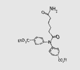 CCOC(=O)c1ccc(N(C(=O)CCCCC(N)=O)c2ccc(C(=O)OCC)cc2)cc1